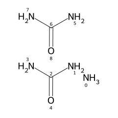 N.NC(N)=O.NC(N)=O